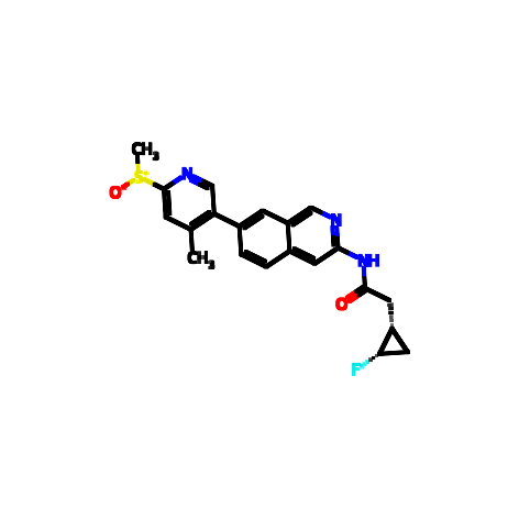 Cc1cc([S+](C)[O-])ncc1-c1ccc2cc(NC(=O)C[C@@H]3C[C@@H]3F)ncc2c1